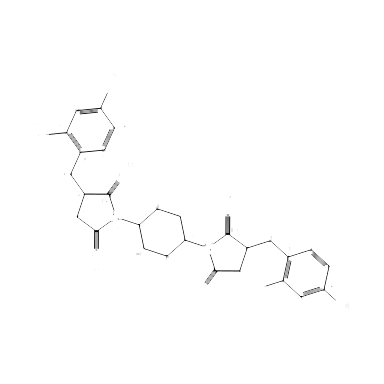 O=C1CC(Cc2ccc(O)cc2O)C(=O)N1C1CCC(N2C(=O)CC(Cc3ccc(O)cc3O)C2=O)CC1